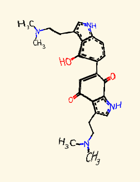 CN(C)CCc1c[nH]c2c1C(=O)C=C(c1ccc3[nH]cc(CCN(C)C)c3c1O)C2=O